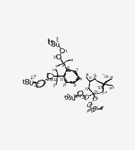 CC(C)(C)OOC(C)(C)c1ccccc1C(C)(C)OOC(C)(C)C.CC1CC(C)(C)CC(OOC(C)(C)C)(OOC(C)(C)C)C1